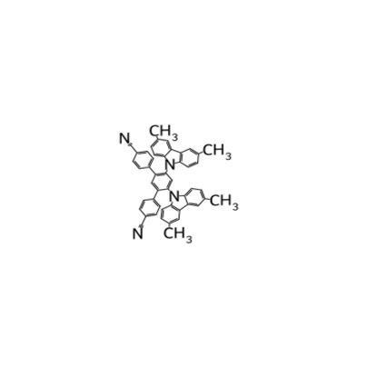 Cc1ccc2c(c1)c1cc(C)ccc1n2-c1cc(-n2c3ccc(C)cc3c3cc(C)ccc32)c(-c2ccc(C#N)cc2)cc1-c1ccc(C#N)cc1